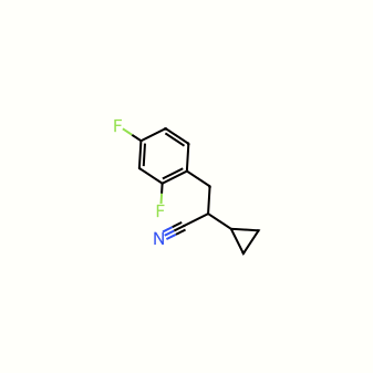 N#CC(Cc1ccc(F)cc1F)C1CC1